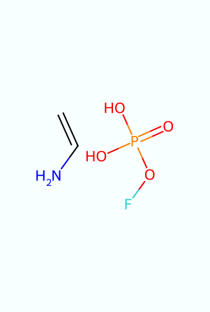 C=CN.O=P(O)(O)OF